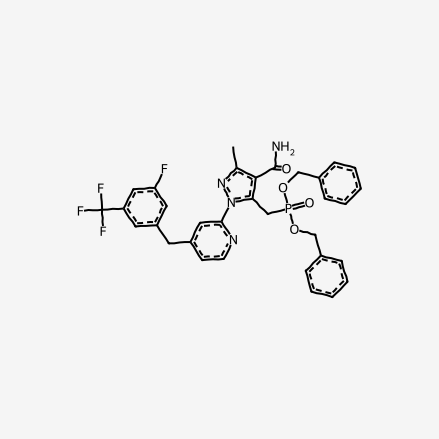 Cc1nn(-c2cc(Cc3cc(F)cc(C(F)(F)F)c3)ccn2)c(CP(=O)(OCc2ccccc2)OCc2ccccc2)c1C(N)=O